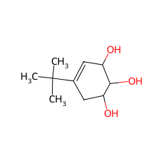 CC(C)(C)C1=CC(O)C(O)C(O)C1